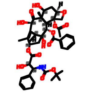 CC(=O)O[C@@]12CO[C@@H]1C[C@H](O)[C@@]1(C)C(=O)[C@H](O)C3=C(C)[C@@H](OC(=O)[C@H](O)[C@@H](NC(=O)OC(C)(C)C)c4ccccc4)C[C@](O)([C@@H]3C)[C@@H](OC(=O)c3ccccc3)[C@H]21